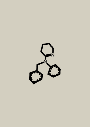 c1ccc(CN(C2=NCCCC2)c2ccccc2)cc1